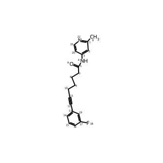 Cc1cc(NC(=O)CCCCC#Cc2cccc(F)c2)ccn1